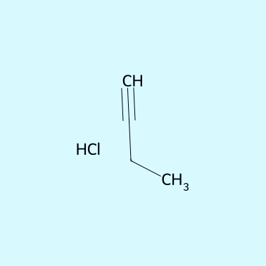 C#CCC.Cl